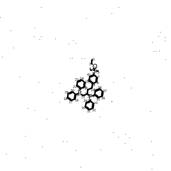 CCO[Si](C)(C)c1ccc(CCC(CP(c2ccccc2)c2ccccc2)P(c2ccccc2)c2ccccc2)cc1